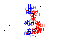 C[n+]1cn([C@H]2O[C@@H](COP(=O)(O)OP(=O)(O)OP(=O)(O)OC[C@H]3O[C@@H](n4cnc5c(N)ncnc54)[C@H](F)[C@@H]3OP(=O)(O)OC[C@H]3O[C@@H](n4nnc5c(=O)[nH]c(N)nc54)[C@H](O)[C@@H]3O)[C@H](O)[C@@H]2O)c2nc(N)[nH]c(=O)c21